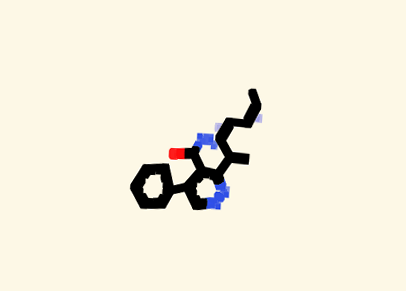 C=C(/C=C\C=C/C)c1nncc(-c2ccccc2)c1C(N)=O